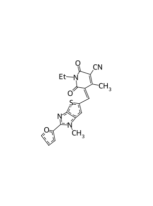 CCN1C(=O)C(C#N)=C(C)/C(=C/c2cc3c(nc(-c4ccco4)n3C)s2)C1=O